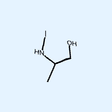 CC(CO)NI